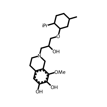 COc1c(O)c(O)cc2c1CN(CC(O)COC1CC(C)CCC1C(C)C)CC2